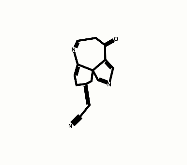 N#CC=C1CC=C2N=CCC(=O)C3=CN=CC23C1